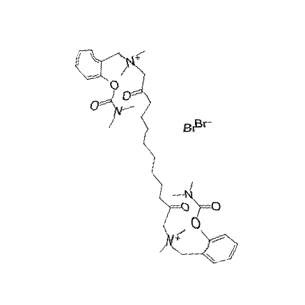 CN(C)C(=O)Oc1ccccc1C[N+](C)(C)CC(=O)CCCCCCCCC(=O)C[N+](C)(C)Cc1ccccc1OC(=O)N(C)C.[Br-].[Br-]